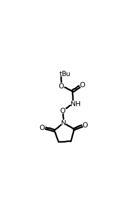 CC(C)(C)OC(=O)NON1C(=O)CCC1=O